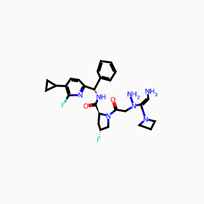 N/C=C(\N(N)CC(=O)N1C[C@H](F)C[C@H]1C(=O)N[C@@H](c1ccccc1)c1ccc(C2CC2)c(F)n1)N1CCC1